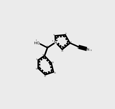 N#Cc1ccn(C(O)c2ccccc2)c1